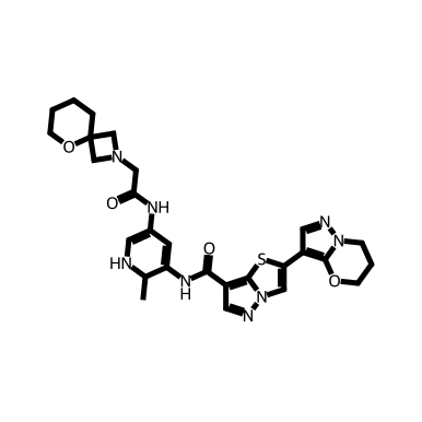 CC1NC=C(NC(=O)CN2CC3(CCCCO3)C2)C=C1NC(=O)c1cnn2cc(-c3cnn4c3OCCC4)sc12